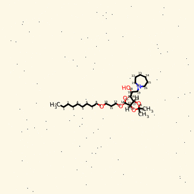 CCCCCCCCCOCCCO[C@H]1O[C@H]([C@H](O)CN2CCCCCC2)[C@@H]2OC(C)(C)O[C@H]12